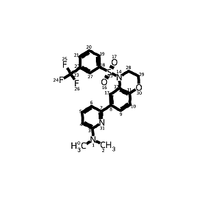 CN(C)c1cccc(-c2ccc3c(c2)N(S(=O)(=O)c2cccc(C(F)(F)F)c2)CCO3)n1